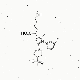 Cc1c(C(CCCCO)C(=O)O)cc(-c2ccc(S(C)(=O)=O)cc2)n1-c1cccc(F)c1